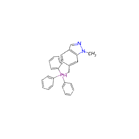 Cn1ncc2ccc(C[PH](c3ccccc3)(c3ccccc3)c3ccccc3)cc21